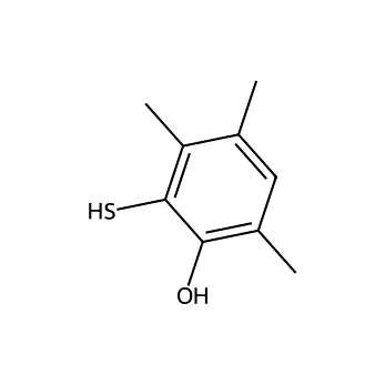 Cc1cc(C)c(O)c(S)c1C